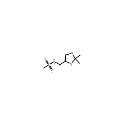 CC1(C)OCC(CNS(C)(=O)=O)O1